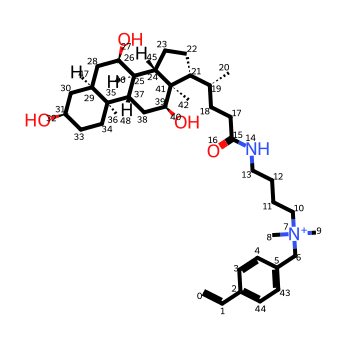 C=Cc1ccc(C[N+](C)(C)CCCCNC(=O)CC[C@@H](C)[C@H]2CC[C@H]3[C@@H]4[C@H](O)C[C@@H]5C[C@H](O)CC[C@]5(C)[C@H]4C[C@H](O)[C@]23C)cc1